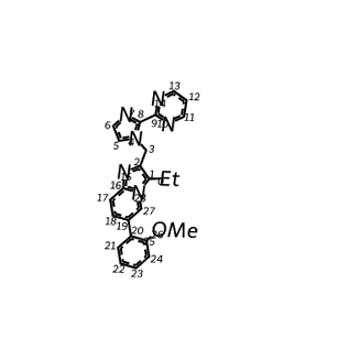 CCc1c(Cn2ccnc2-c2ncccn2)nc2ccc(-c3ccccc3OC)cn12